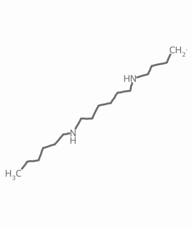 [CH2]CCCNCCCCCCNCCCCCC